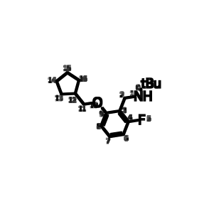 CC(C)(C)NCc1c(F)cccc1OCC1CCCC1